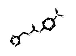 O=C(OCc1cocn1)Oc1ccc([N+](=O)[O-])cc1